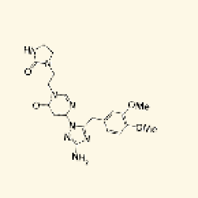 COc1ccc(Cc2nc(N)nn2-c2cc(=O)n(CCN3CCNC3=O)cn2)cc1OC